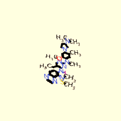 CCc1cnc(N(C)c2cc(C)c(N3CCC(N(C)C)C3)cc2OC)nc1N(I)c1ccc2nccnc2c1N(C)SC